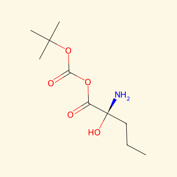 CCC[C@](N)(O)C(=O)OC(=O)OC(C)(C)C